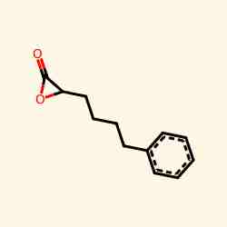 O=C1OC1CCCCc1ccccc1